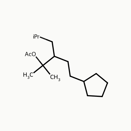 CC(=O)OC(C)(C)C(CCC1CCCC1)CC(C)C